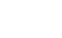 FC(F)(F)[Se]Cc1ccc(C(F)(F)F)cc1